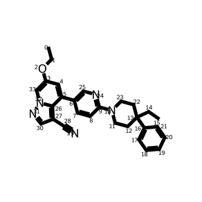 CCOc1cc(-c2ccc(N3CCC(CC)(c4ccccc4)CC3)nc2)c2c(C#N)cnn2c1